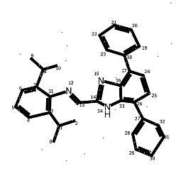 CC(C)c1cccc(C(C)C)c1/N=C/c1nc2c(-c3ccccc3)ccc(-c3ccccc3)c2[nH]1